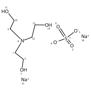 O=S(=O)([O-])[O-].OCCN(CCO)CCO.[Na+].[Na+]